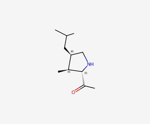 CC(=O)[C@H]1NC[C@H](CC(C)C)[C@@H]1C